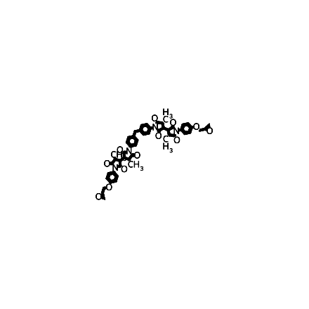 CC1C(=O)N(c2ccc(Cc3ccc(N4C(=O)C(C)C(C5C(=O)N(c6ccc(OCC7CO7)cc6)C(=O)C5C)C4=O)cc3)cc2)C(=O)C1C1C(=O)N(c2ccc(OCC3CO3)cc2)C(=O)C1C